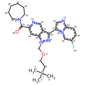 C[Si](C)(C)CCOCn1nc(-c2cnc3ccc(F)cn23)c2cnc(C(=O)N3CCCCCC3)cc21